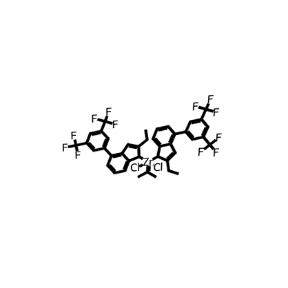 CCC1=Cc2c(-c3cc(C(F)(F)F)cc(C(F)(F)F)c3)cccc2[CH]1[Zr]([Cl])([Cl])(=[C](C)C)[CH]1C(CC)=Cc2c(-c3cc(C(F)(F)F)cc(C(F)(F)F)c3)cccc21